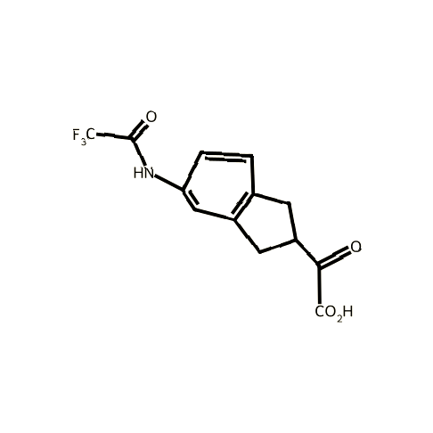 O=C(O)C(=O)C1Cc2ccc(NC(=O)C(F)(F)F)cc2C1